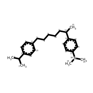 CC(C)c1ccc(CCCCCC(C)c2ccc(N(C)C)cc2)cc1